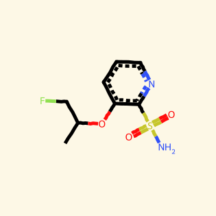 CC(CF)Oc1cccnc1S(N)(=O)=O